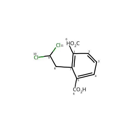 O=C(O)c1cccc(C(=O)O)c1CC(Cl)Cl